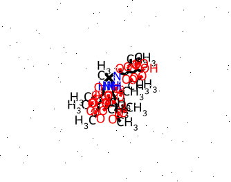 CCC(CNC(=O)C(O)C(OC(C)=O)C(O)C(COC(C)=O)OC(C)=O)(CNC(=O)C(OC(C)=O)C(OC(C)=O)C(OC(C)=O)C(CO)OC(C)=O)CNC(=O)C(OC(C)=O)C(OC(C)=O)C(OC(C)=O)C(COC(C)=O)OC(C)=O